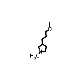 CN1CCC(CCCOI)C1